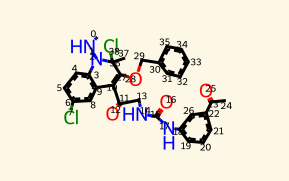 CNN1c2ccc(Cl)cc2C(C(=O)CNC(=O)Nc2cccc(C(C)=O)c2)=C(OCc2ccccc2)C1(C)Cl